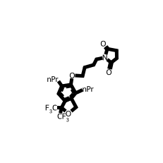 CCCc1cc2c(c(CCC)c1OCCCCN1C(=O)CCC1=O)COC2(C(F)(F)F)C(F)(F)F